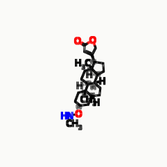 CNO[C@@H]1CC[C@@]2(C)[C@H](CC[C@@H]3[C@@H]2CC[C@]2(C)[C@@H](C4=CC(=O)OC4)CC[C@@H]32)C1